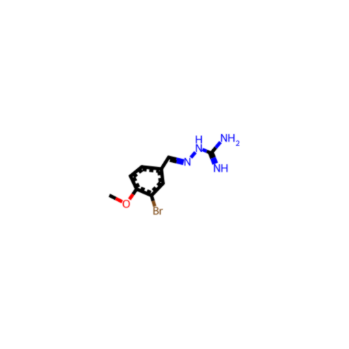 COc1ccc(C=NNC(=N)N)cc1Br